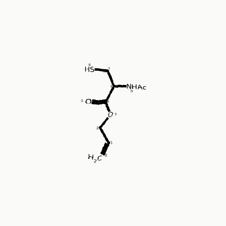 C=CCOC(=O)C(CS)NC(C)=O